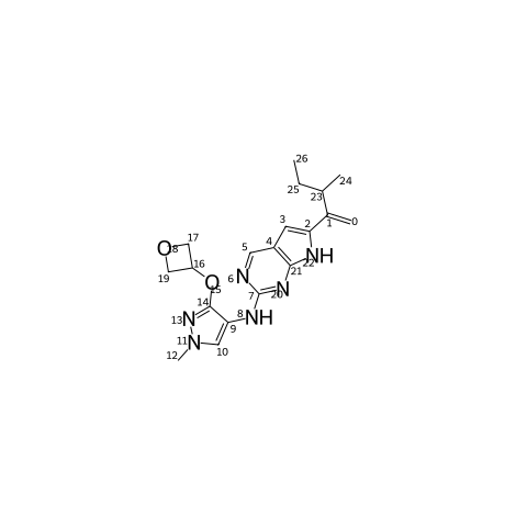 C=C(c1cc2cnc(Nc3cn(C)nc3OC3COC3)nc2[nH]1)C(C)CC